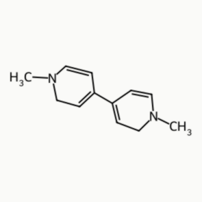 CN1C=CC(C2=CCN(C)C=C2)=CC1